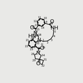 C[C@H]1CCCCNC(=O)c2cccc(c2)C(=O)/N=C2\Nc3cccc(C(=O)N4CCC5(CCO5)C4)c3N21